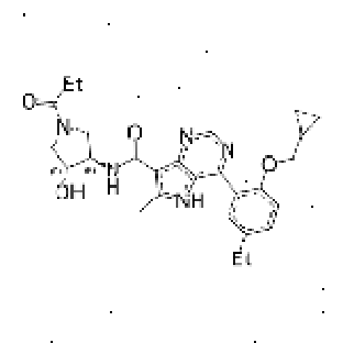 CCC(=O)N1C[C@@H](O)[C@H](NC(=O)c2c(C)[nH]c3c(-c4cc(CC)ccc4OCC4CC4)ncnc23)C1